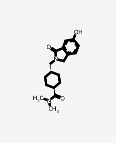 CN(C)C(=O)[C@H]1CC[C@H](CN2Cc3ccc(O)cc3C2=O)CC1